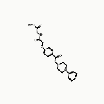 COC(=O)CNC(=O)COc1ccc(C(=O)CN2CCN(c3ccncc3)CC2)cc1